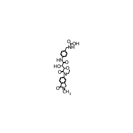 CN1Cc2cc(N3CCO[C@H]([C@@H](O)C(=O)Nc4ccc(CNC(=O)O)cc4)C3=O)ccc2C1=O